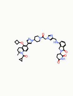 C[C@H]1CCc2c(ccc(-c3cnn(C4CCN(C(=O)Cn5cnc(CNc6cccc7c6CN(C6CCC(=O)NC6=O)C7=O)c5)CC4)c3)c2OC2CCC2)N1C(=O)C1CC1